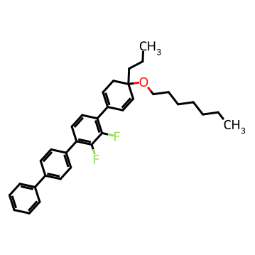 CCCCCCCOC1(CCC)C=CC(c2ccc(-c3ccc(-c4ccccc4)cc3)c(F)c2F)=CC1